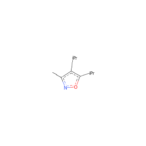 Cc1noc(C(C)C)c1C(C)C